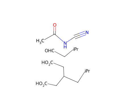 CC(=O)NC#N.CC(C)CC(CC(=O)O)CC(=O)O.CC(C)CC=O